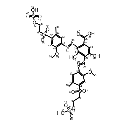 COc1cc(S(=O)(=O)CCOS(=O)(=O)O)c(C)cc1N=Nc1c(O)cc(C(=O)O)c(N=Nc2cc(C)c(S(=O)(=O)CCOS(=O)(=O)O)cc2OC)c1O